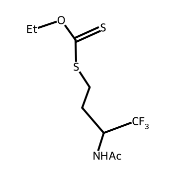 CCOC(=S)SCCC(NC(C)=O)C(F)(F)F